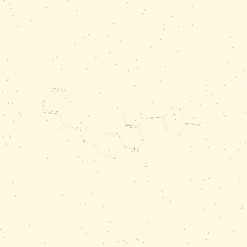 O=C(NCc1ccccc1)c1ccc2ncc(Cc3ccc(Cl)c(Cl)c3)c(=O)n2c1